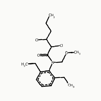 CCCC(Cl)C(Cl)C(=O)N(COC)c1c(CC)cccc1CC